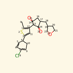 Cc1sc(C2C=CC(Cl)=CC2)cc1C1C(=O)CC(CC2CCOC2)C1=O